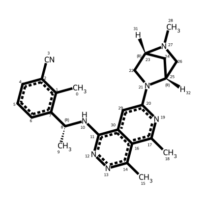 Cc1c(C#N)cccc1[C@@H](C)Nc1nnc(C)c2c(C)nc(N3C[C@H]4C[C@@H]3CN4C)cc12